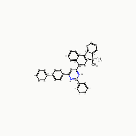 CC1(C)c2ccccc2-c2c1cc(-c1cc(-c3ccc(-c4ccccc4)cc3)nc(-c3ccccc3)n1)c1ccccc21